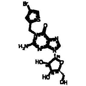 Nc1nc2c(ncn2[C@@H]2O[C@H](CO)[C@@H](O)[C@H]2O)c(=O)n1Cc1cc(Br)cs1